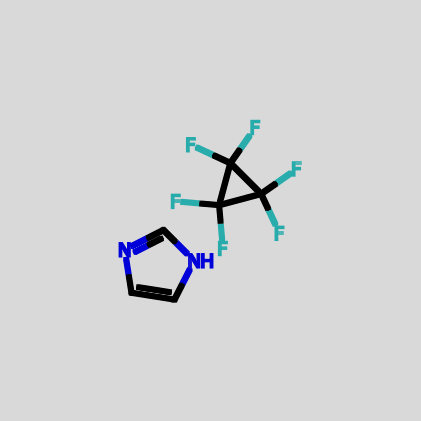 FC1(F)C(F)(F)C1(F)F.c1c[nH]cn1